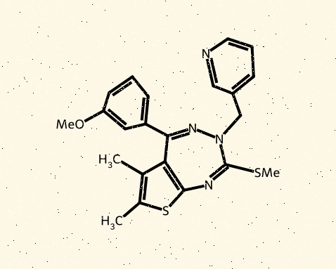 COc1cccc(C2=NN(Cc3cccnc3)C(SC)=Nc3sc(C)c(C)c32)c1